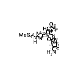 COCCNc1ncc(-c2ccc(Cn3cnn(CC(CN)=C(F)F)c3=O)s2)cn1.O=C(O)C(F)(F)F